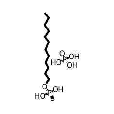 CCCCCCCCCCCCOP(O)(O)=S.O=P(O)(O)O